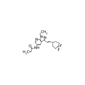 C=CC(=O)Nc1cnc2c(c1)c(C=CC1CCC(F)(F)CC1)nn2CC